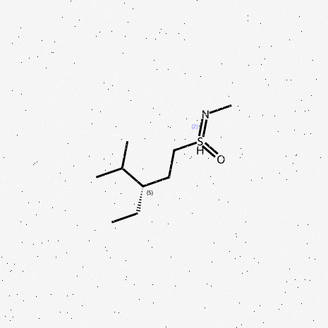 CC[C@@H](CC/[SH](=O)=N/C)C(C)C